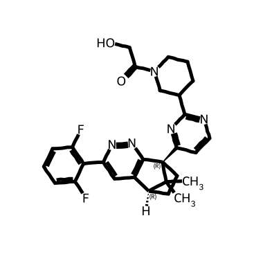 CC1(C)[C@H]2CC[C@@]1(c1ccnc(C3CCCN(C(=O)CO)C3)n1)c1nnc(-c3c(F)cccc3F)cc12